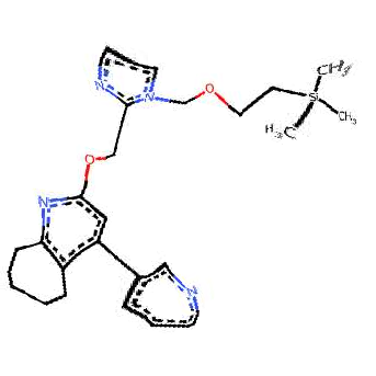 C[Si](C)(C)CCOCn1ccnc1COc1cc(-c2cccnc2)c2c(n1)CCCC2